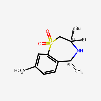 CCCC[C@]1(CC)CS(=O)(=O)c2cc(S(=O)(=O)O)ccc2[C@@H](C)N1